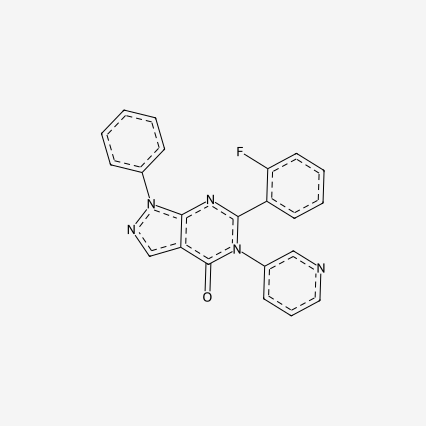 O=c1c2cnn(-c3ccccc3)c2nc(-c2ccccc2F)n1-c1cccnc1